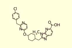 Cn1c(CC2CCC(Oc3ccnc(Cc4ccc(Cl)cc4)n3)CC2)nc2ccc(C(=O)O)nc21